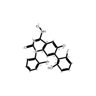 CCNc1nc(=O)n(-c2ccccc2C(C)C)c2cc(-c3c(O)cccc3F)c(Cl)cc12